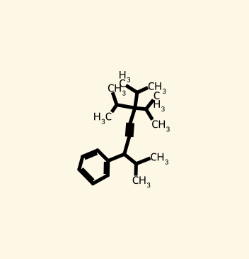 CC(C)C(C#CC(C(C)C)(C(C)C)C(C)C)c1ccccc1